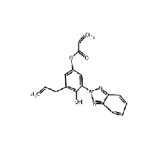 C=CCc1cc(OC(=O)C=C)cc(-n2nc3ccccc3n2)c1O